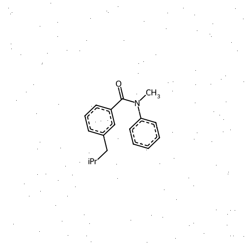 CC(C)Cc1cccc(C(=O)N(C)c2ccccc2)c1